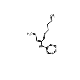 C=C/C=C(\C=C\CCC=C)Nc1ccccc1